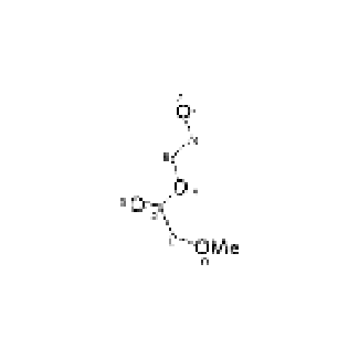 COCC(=O)OCC[O]